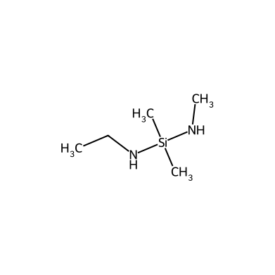 CCN[Si](C)(C)NC